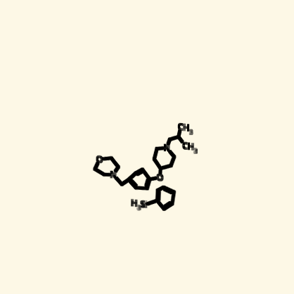 CC(C)CN1CCC(Oc2ccc(CN3CCOCC3)cc2)CC1.[SiH3]c1ccccc1